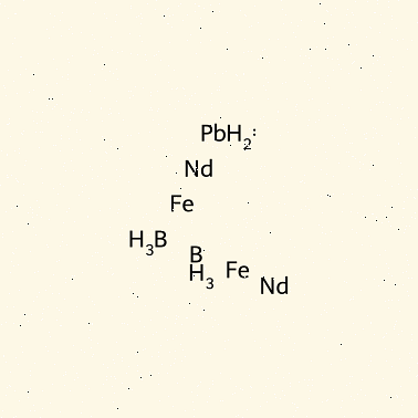 B.B.[Fe].[Fe].[Nd].[Nd].[PbH2]